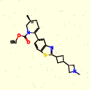 C[C@H]1CC=C(c2ccc3sc(C4CC(C5CN(C)C5)C4)nc3c2)N(C(=O)OC(C)(C)C)C1